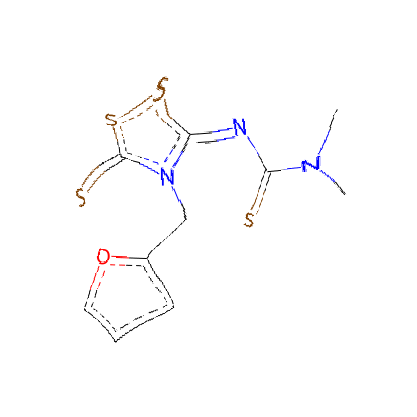 CN(C)C(=S)N=c1ssc(=S)n1Cc1ccco1